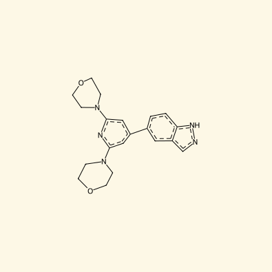 c1cc2[nH]ncc2cc1-c1cc(N2CCOCC2)nc(N2CCOCC2)c1